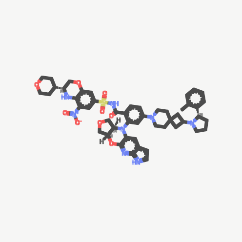 Cc1ccccc1[C@@H]1CCCN1C1CC2(CCN(c3ccc(C(=O)NS(=O)(=O)c4cc5c(c([N+](=O)[O-])c4)N[C@H](C4CCOCC4)CO5)c(N4c5cc6cc[nH]c6nc5O[C@@H]5COC[C@H]54)c3)CC2)C1